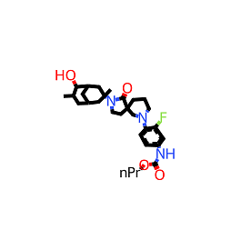 CCCOC(=O)Nc1ccc(N2CCCC3(CCN(C4(C)CC5CC(C)C(O)C(C5)C4)C3=O)C2)c(F)c1